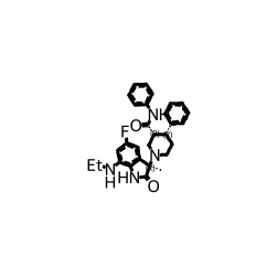 CCNc1cc(F)cc2c1NC(=O)[C@]2(C)N1CC[C@@H](c2ccccc2)[C@@H](C(=O)Nc2ccccc2)C1